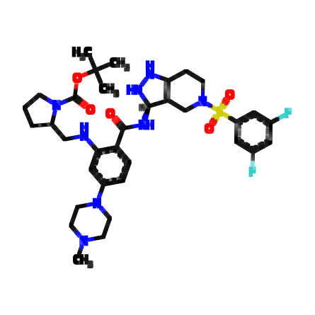 CN1CCN(c2ccc(C(=O)N[C@H]3NNC4=C3CN(S(=O)(=O)c3cc(F)cc(F)c3)CC4)c(NCC3CCCN3C(=O)OC(C)(C)C)c2)CC1